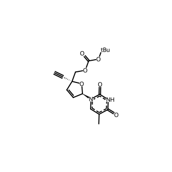 C#C[C@@]1(COC(=O)OC(C)(C)C)C=C[C@H](n2cc(C)c(=O)[nH]c2=O)O1